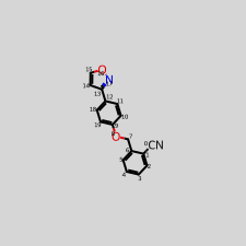 N#Cc1ccccc1COc1ccc(-c2ccon2)cc1